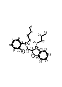 CCCCP1c2ccccc2O[C@H]1[C@@H]1Oc2ccccc2[P@@]1CCCC